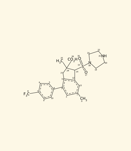 Cc1cc(-c2ccc(C(F)(F)F)cc2)c2c(c1)C(S(=O)(=O)N1CCNCC1)C(C)(C(=O)O)C2